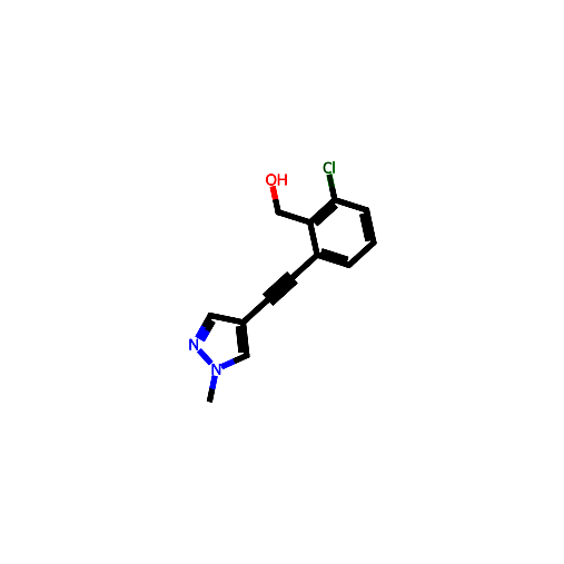 Cn1cc(C#Cc2cccc(Cl)c2CO)cn1